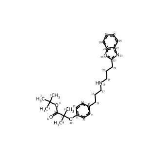 CC(C)(C)OC(=O)C(C)(C)Oc1ccc(CCCNCCCc2nc3ccccc3o2)cc1